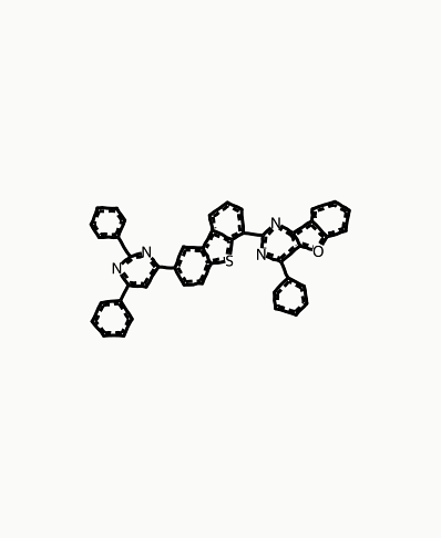 c1ccc(-c2cc(-c3ccc4sc5c(-c6nc(-c7ccccc7)c7oc8ccccc8c7n6)cccc5c4c3)nc(-c3ccccc3)n2)cc1